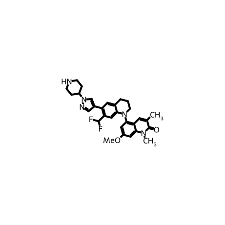 COc1cc(N2CCCc3cc(-c4cnn(C5CCNCC5)c4)c(C(F)F)cc32)c2cc(C)c(=O)n(C)c2c1